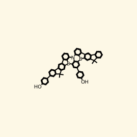 CC1(C)c2ccccc2-c2cc3c(cc21)B1c2cc(-c4ccc(O)cc4)cc4c2N(c2cccc-3c21)c1cccc2c1B4c1cc3c(cc1-2)-c1ccc(-c2ccc(O)cc2)cc1C3(C)C